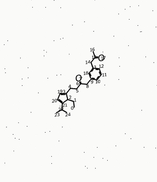 CCC1C(CCC(=O)Cc2cccc(CC(C)=O)c2)=CC=C1C(C)C